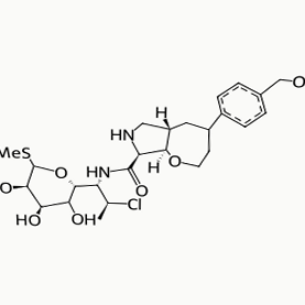 CSC1O[C@H]([C@H](NC(=O)[C@H]2NC[C@@H]3CC(c4ccc(CO)cc4)CCO[C@H]32)[C@H](C)Cl)C(O)[C@@H](O)[C@H]1O